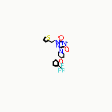 Cn1c(=O)c(N2CCC(Oc3ccccc3C(F)(F)F)CC2)nn(CCc2cccs2)c1=O